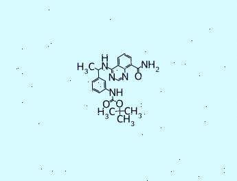 CC(Nc1ncnc2c(C(N)=O)cccc12)c1cccc(NC(=O)OC(C)(C)C)c1